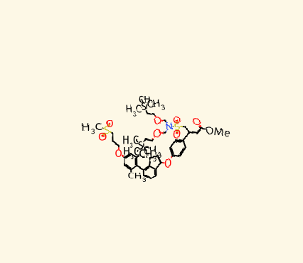 COC(=O)CC(CS(=O)(=O)N(COCC[Si](C)(C)C)COCC[Si](C)(C)C)c1ccc(O[C@@H]2CCc3c(-c4c(C)cc(OCCCS(C)(=O)=O)cc4C)cccc32)cc1